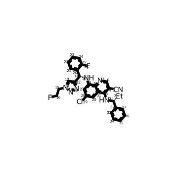 CC[C@@H](Nc1c(C#N)cnc2c(N[C@H](c3cn(CCF)nn3)c3ccccc3F)cc(Cl)cc12)c1ccccc1